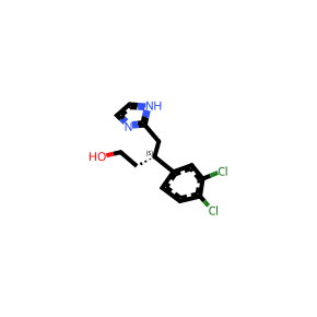 OCC[C@H](Cc1ncc[nH]1)c1ccc(Cl)c(Cl)c1